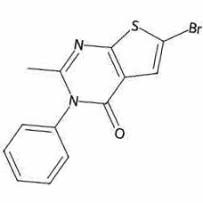 Cc1nc2sc(Br)cc2c(=O)n1-c1ccccc1